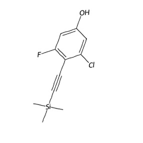 C[Si](C)(C)C#Cc1c(F)cc(O)cc1Cl